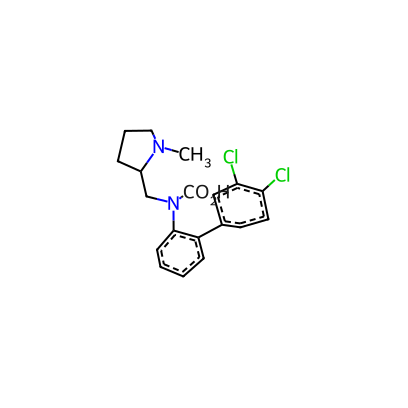 CN1CCCC1CN(C(=O)O)c1ccccc1-c1ccc(Cl)c(Cl)c1